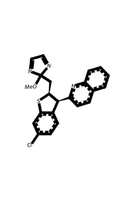 COC1(C[C@@H]2Sc3cc(Cl)ccc3[C@@H]2c2ccc3ccccc3n2)N=CC=N1